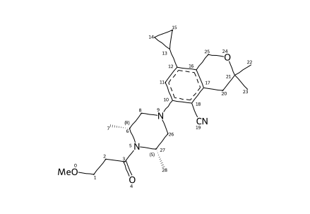 COCCC(=O)N1[C@H](C)CN(c2cc(C3CC3)c3c(c2C#N)CC(C)(C)OC3)C[C@@H]1C